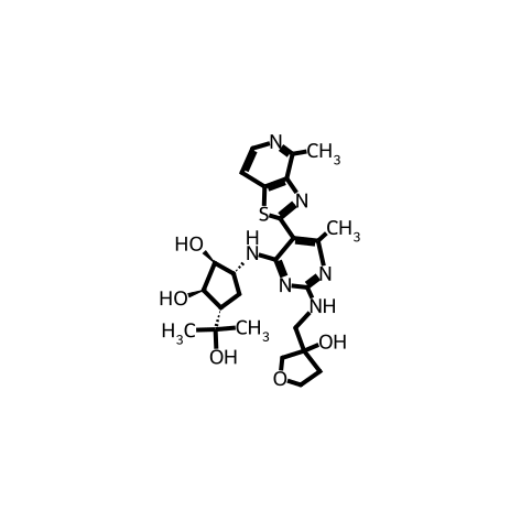 Cc1nc(NCC2(O)CCOC2)nc(N[C@@H]2C[C@H](C(C)(C)O)[C@@H](O)[C@H]2O)c1-c1nc2c(C)nccc2s1